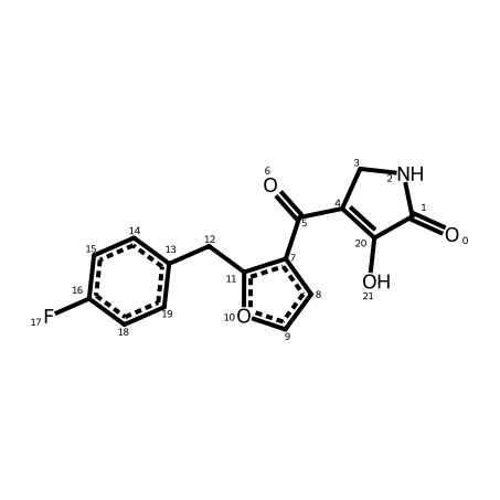 O=C1NCC(C(=O)c2ccoc2Cc2ccc(F)cc2)=C1O